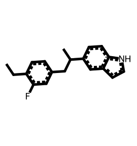 CCc1ccc(CC(C)c2ccc3[nH]ccc3c2)cc1F